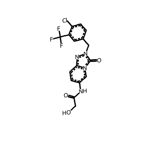 O=C(CO)Nc1ccc2nn(Cc3ccc(Cl)c(C(F)(F)F)c3)c(=O)n2c1